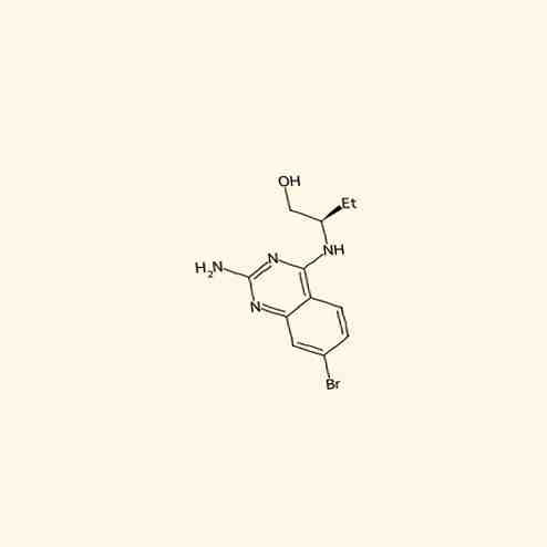 CC[C@H](CO)Nc1nc(N)nc2cc(Br)ccc12